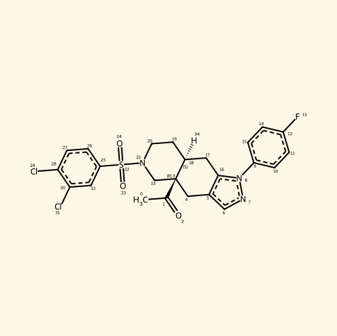 CC(=O)[C@]12Cc3cnn(-c4ccc(F)cc4)c3C[C@@H]1CCN(S(=O)(=O)c1ccc(Cl)c(Cl)c1)C2